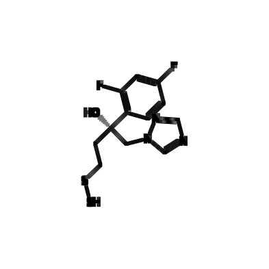 O[C@@](CCSS)(Cn1cncn1)c1ccc(F)cc1F